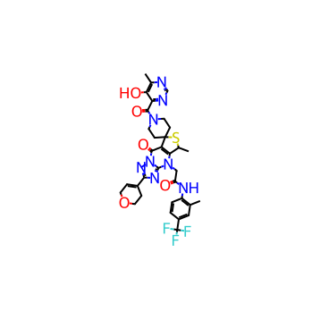 Cc1cc(C(F)(F)F)ccc1NC(=O)Cn1c2c(c(=O)n3nc(C4=CCOCC4)nc13)C1(CCN(C(=O)c3ncnc(C)c3O)CC1)SC2C